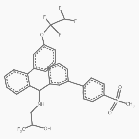 CS(=O)(=O)c1ccc(-c2cccc(C(NCC(O)C(F)(F)F)c3ccccc3-c3cccc(OC(F)(F)C(F)F)c3)c2)cc1